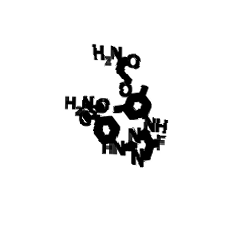 Cc1cc(Nc2nc(Nc3ccc(S(N)(=O)=O)cc3)ncc2F)cc(C)c1OCCC(N)=O